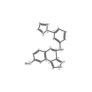 COc1ccc2nc(Nc3cccc(-n4nccn4)c3)c3n[nH]cc3c2c1